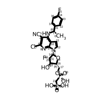 C[C@@H](Nc1c(C#N)c(Cl)nc2c1ccn2[C@@H]1O[C@H](COP(=O)(O)CP(=O)(O)O)[C@@H](O)[C@@H]1F)c1ccc(F)cc1